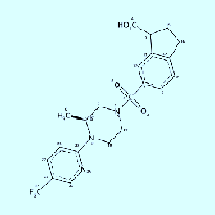 C[C@H]1CN(S(=O)(=O)c2ccc3c(c2)C(C(=O)O)CC3)CCN1c1ccc(C(F)(F)F)cn1